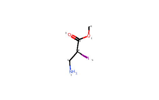 COC(=O)[C@@H](I)CN